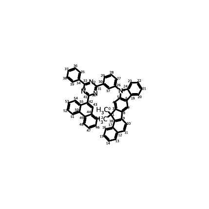 CC1(C)c2cc3c(cc2-c2ccc4ccccc4c21)c1ccccc1n3-c1cccc(-c2nc(-c3ccccc3)nc(-c3cc4ccccc4c4ccccc34)n2)c1